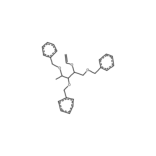 C=COC(COCc1ccccc1)C(OCc1ccccc1)C(C)OCc1ccccc1